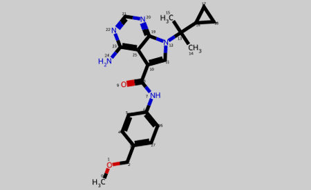 COCc1ccc(NC(=O)c2cn(C(C)(C)C3CC3)c3ncnc(N)c23)cc1